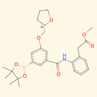 COC(=O)Cc1ccccc1NC(=O)c1cc(OC[C@@H]2CCCO2)cc(B2OC(C)(C)C(C)(C)O2)c1